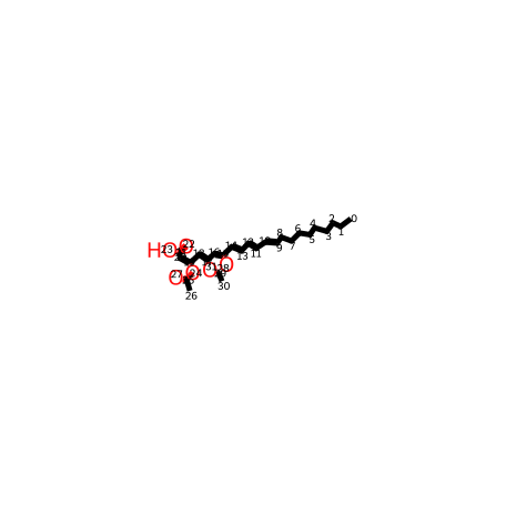 CCCCCCCCCC=CC=CC=CC(=CC=CC(=CC(=O)O)OC(C)=O)OC(C)=O